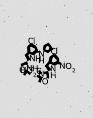 CC1(C)N[C@@H](c2cc3cc(Cl)cc(NC4CCCC4)c3[nH]2)CO1.CC1(C)OC[C@H](c2cc3cc(Cl)cc([N+](=O)[O-])c3[nH]2)N1C(=O)O